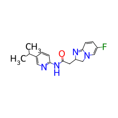 CC(C)c1ccc(NC(=O)CC2CN3C=C(F)C=CC3=N2)nc1